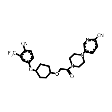 N#Cc1ccc(N2CCN(C(=O)COC3CCC(Oc4ccc(C#N)c(C(F)(F)F)c4)CC3)CC2)cn1